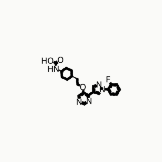 O=C(O)N[C@H]1CC[C@@H](CCOc2cncnc2-c2cnn(-c3ccccc3F)c2)CC1